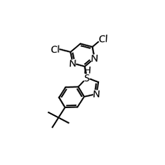 CC(C)(C)c1ccc2c(c1)N=C[SH]2c1nc(Cl)cc(Cl)n1